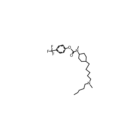 CCCCCN(C)CCCCCC1CCC(N(C)C(=O)Oc2ccc(C(F)(F)F)cc2)CC1